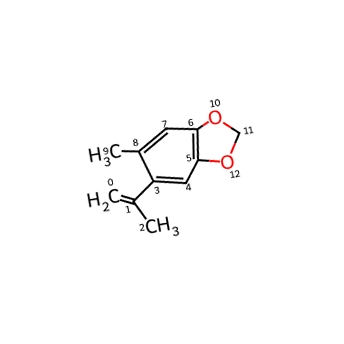 C=C(C)c1cc2c(cc1C)OCO2